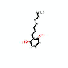 CCCCCCCCCCCCCCc1c(O)cccc1O